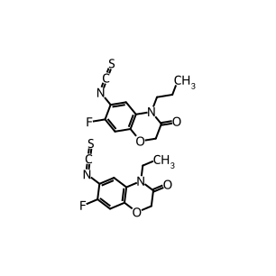 CCCN1C(=O)COc2cc(F)c(N=C=S)cc21.CCN1C(=O)COc2cc(F)c(N=C=S)cc21